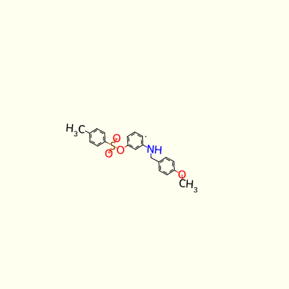 COc1ccc(CNc2[c]ccc(OS(=O)(=O)c3ccc(C)cc3)c2)cc1